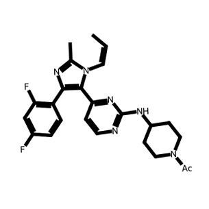 C/C=C\n1c(C)nc(-c2ccc(F)cc2F)c1-c1ccnc(NC2CCN(C(C)=O)CC2)n1